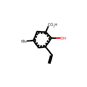 C=Cc1cc(C(C)(C)C)cc(C(=O)O)c1O